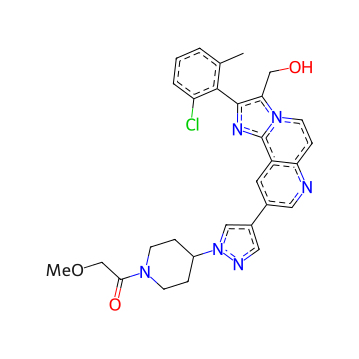 COCC(=O)N1CCC(n2cc(-c3cnc4ccn5c(CO)c(-c6c(C)cccc6Cl)nc5c4c3)cn2)CC1